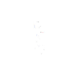 O=C(NCCN1CCCCC1)c1cccc(Br)n1